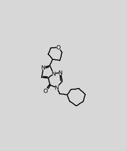 O=c1c2cnc(C3CCOCC3)n2ncn1CC1CCCCCC1